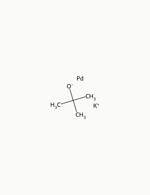 CC(C)(C)[O-].[K+].[Pd]